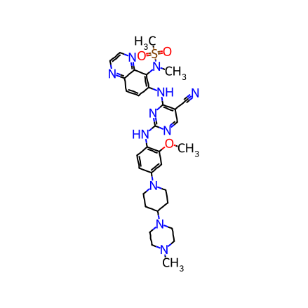 COc1cc(N2CCC(N3CCN(C)CC3)CC2)ccc1Nc1ncc(C#N)c(Nc2ccc3nccnc3c2N(C)S(C)(=O)=O)n1